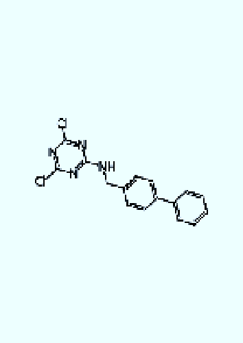 Clc1nc(Cl)nc(NCc2ccc(-c3ccccc3)cc2)n1